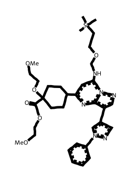 COCCOC(=O)C1(OCCOC)CCC(c2cc(NCOCC[Si](C)(C)C)n3ncc(-c4cnn(-c5ccccc5)c4)c3n2)CC1